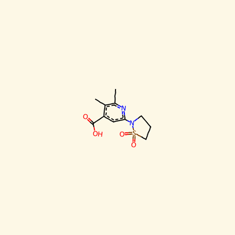 Cc1nc(N2CCCS2(=O)=O)cc(C(=O)O)c1C